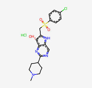 CN1CCC(c2ncc3[nH]c(CS(=O)(=O)c4ccc(Cl)cc4)cc3n2)CC1.Cl.O